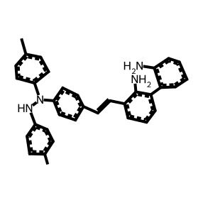 Cc1ccc(NN(c2ccc(C)cc2)c2ccc(/C=C/c3cccc(-c4ccccc4N)c3N)cc2)cc1